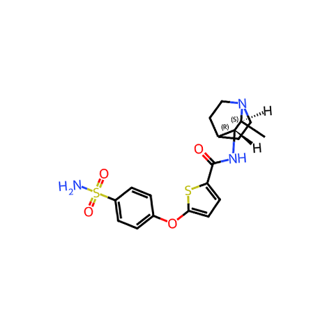 C[C@H]1[C@H](NC(=O)c2ccc(Oc3ccc(S(N)(=O)=O)cc3)s2)C2CCN1CC2